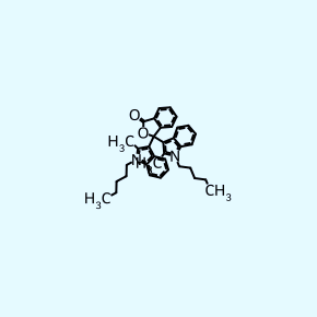 CCCCCn1c(C)c(C2(c3c(C)n(CCCCC)c4ccccc34)OC(=O)c3ccccc32)c2ccccc21